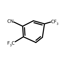 [C-]#[N+]c1cc(C(F)(F)F)ccc1C(F)(F)F